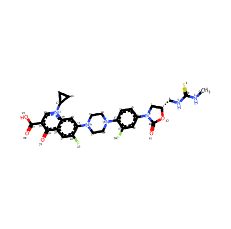 CNC(=S)NC[C@H]1CN(c2ccc(N3CCN(c4cc5c(cc4F)c(=O)c(C(=O)O)cn5C4CC4)CC3)c(F)c2)C(=O)O1